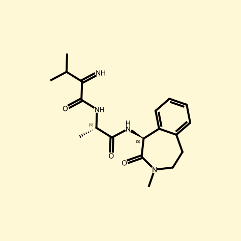 CC(C)C(=N)C(=O)N[C@@H](C)C(=O)N[C@@H]1C(=O)N(C)CCc2ccccc21